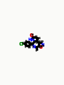 CC1N=C(c2ccc(Cl)cc2)c2[nH]c(=O)ccc2-c2cnoc21